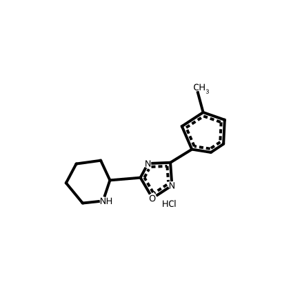 Cc1cccc(-c2noc(C3CCCCN3)n2)c1.Cl